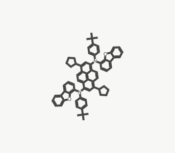 CC(C)(C)c1ccc(N(c2cc(C3CCCC3)c3ccc4c(N(c5ccc(C(C)(C)C)cc5)c5cccc6c5oc5ccccc56)cc(C5CCCC5)c5ccc2c3c54)c2cccc3c2oc2ccccc23)cc1